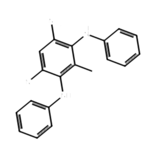 Cc1c(Nc2ccccc2)c([N+](=O)[O-])cc([N+](=O)[O-])c1Nc1ccccc1